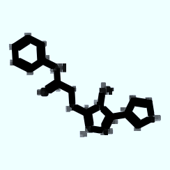 CCCn1c(SCC(=O)Nc2ccccc2)nnc1-c1ccsc1